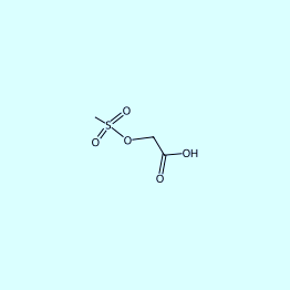 CS(=O)(=O)OCC(=O)O